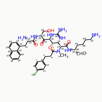 CN(C(=O)CCc1ccc(F)cc1)[C@@H](CCC(NC(=N)N)C(=O)[C@H](CO)NC(=O)[C@@H](N)Cc1cccc2ccccc12)C(=O)N[C@@H]([C]=O)CCCCN